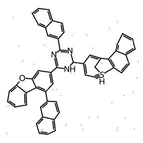 C1#[SH]2CC(=CC(C3N=C(c4ccc5ccccc5c4)N=C(c4cc(-c5ccc6ccccc6c5)c5c(c4)oc4ccccc45)N3)=C1)c1c2ccc2ccccc12